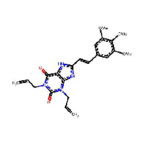 C=CCn1c(=O)c2[nH]c(/C=C/c3cc(OC)c(OC)c(OC)c3)nc2n(CC=C)c1=O